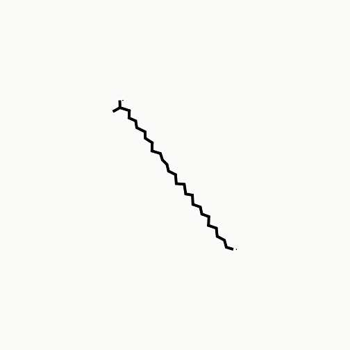 [CH2]CCCCCCCCCCCCCCCCCCCCCCCCCCC([CH2])C